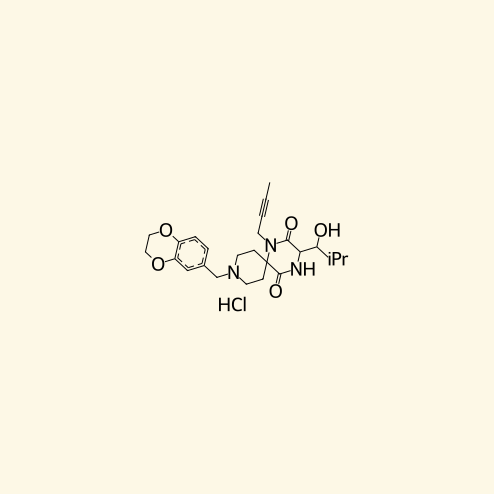 CC#CCN1C(=O)C(C(O)C(C)C)NC(=O)C12CCN(Cc1ccc3c(c1)OCCO3)CC2.Cl